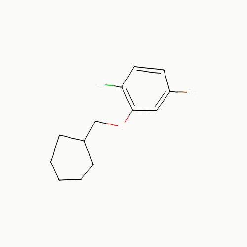 Clc1ccc(Br)cc1OCC1CCCCC1